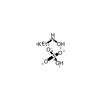 CCNO.O=S(=O)([O-])O.[K+]